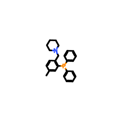 Cc1ccc(CN2CCCCC2)c(P(c2ccccc2)c2ccccc2)c1